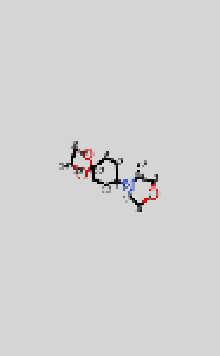 C[C@@H]1COCCN1C1CCC2(CC1)OCCO2